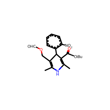 CC1=C(COC=O)C(c2ccccc2[N+](=O)[O-])C(C(=O)OCC(C)C)=C(C)N1